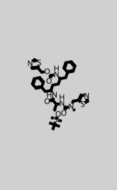 CN(Cc1cncs1)C(=O)NC(CO[Si](C)(C)C(C)(C)C)C(=O)NC(CCC(Cc1ccccc1)NC(=O)OCc1cncs1)Cc1ccccc1